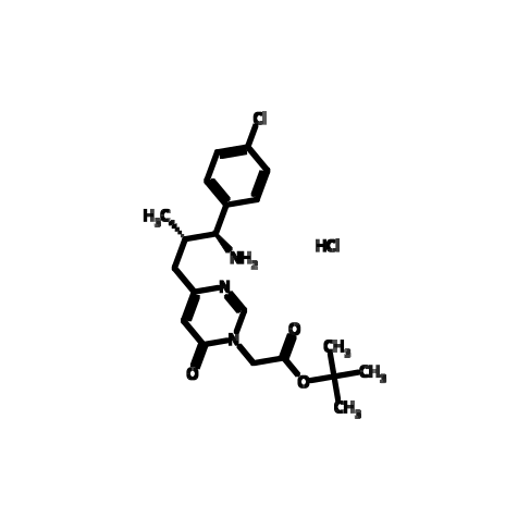 C[C@@H](Cc1cc(=O)n(CC(=O)OC(C)(C)C)cn1)[C@H](N)c1ccc(Cl)cc1.Cl